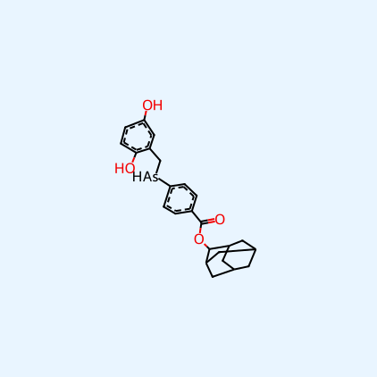 O=C(OC1C2CC3CC(C2)CC1C3)c1ccc([AsH]Cc2cc(O)ccc2O)cc1